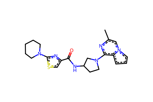 Cc1cn2cccc2c(N2CCC(NC(=O)c3csc(N4CCCCC4)n3)C2)n1